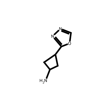 NC1CC(c2nnco2)C1